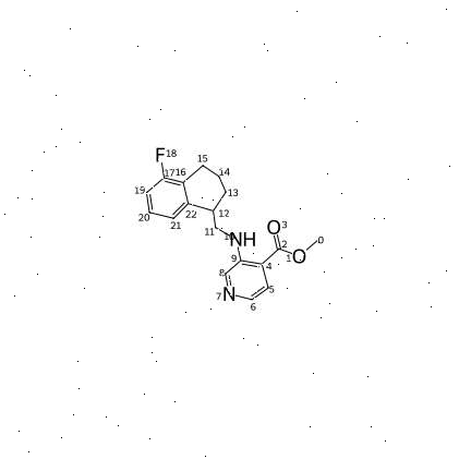 COC(=O)c1ccncc1NCC1CCCc2c(F)cccc21